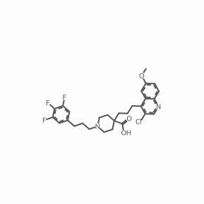 COc1ccc2ncc(Cl)c(CCCC3(C(=O)O)CCN(CCCc4cc(F)c(F)c(F)c4)CC3)c2c1